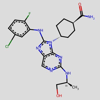 C[C@@H](CO)Nc1ncc2nc(Nc3cc(Cl)ccc3F)n([C@H]3CC[C@H](C(N)=O)CC3)c2n1